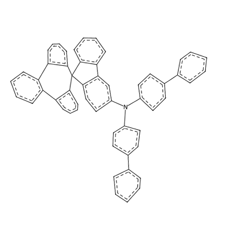 c1ccc(-c2ccc(N(c3ccc(-c4ccccc4)cc3)c3ccc4c(c3)-c3ccccc3C43c4ccccc4-c4ccccc4-c4ccccc43)cc2)cc1